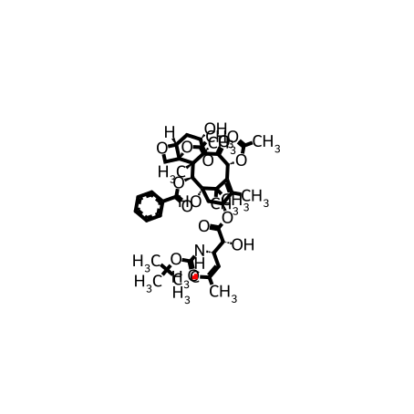 CC(=O)O[C@H]1C(=O)[C@]2(C)[C@@H](O)C[C@H]3OC[C@@]3(OC(C)=O)[C@@]2(C)[C@H](OC(=O)c2ccccc2)[C@]2(O)C[C@H](OC(=O)[C@H](O)[C@H](C=C(C)C)NC(=O)OC(C)(C)C)C(C)=C1C2(C)C